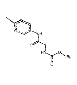 Cc1ccc(NC(=O)CNC(=O)OC(C)(C)C)cn1